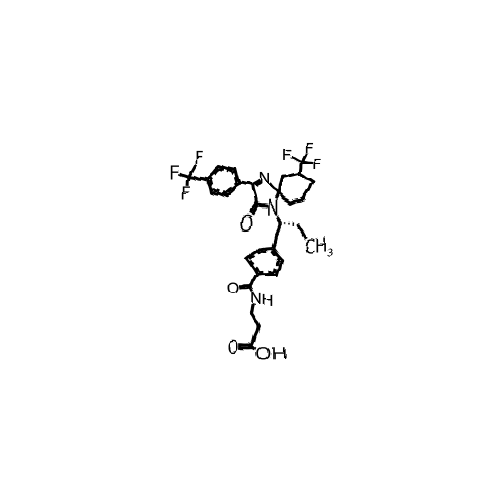 CC[C@H](c1ccc(C(=O)NCCC(=O)O)cc1)N1C(=O)C(c2ccc(C(F)(F)F)cc2)=NC12CCCC(C(F)(F)F)C2